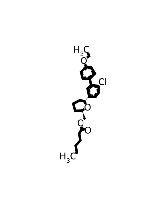 CCCCCC(=O)OC[C@H]1CCC[C@H](c2ccc(Cl)c(-c3ccc(OCC)cc3)c2)O1